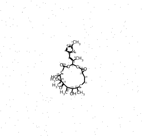 C/C(=C\c1csc(C)n1)C1CC2OC2CCCC(C)C(O)C(C)C(=O)C(C)(C)C(O)CC(=O)O1